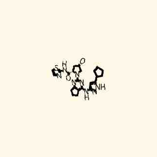 O=C1C[C@@H](C(=O)Nc2nccs2)N(c2nc3c(c(Nc4cc(C5CCCC5)[nH]n4)n2)CCC3)C1